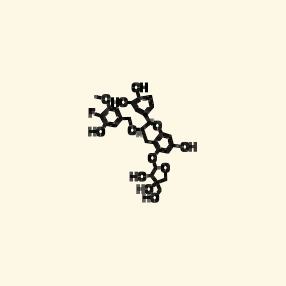 COc1cc(CO[C@@H]2Cc3c(OC4OCC(O)(CO)C4O)cc(O)cc3O[C@@H]2c2ccc(O)c(O)c2)cc(O)c1F